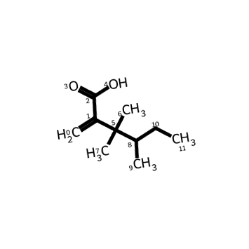 C=C(C(=O)O)C(C)(C)C(C)CC